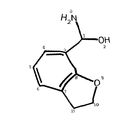 NC(O)c1cccc2c1OCC2